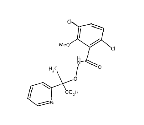 COc1c(Cl)ccc(Cl)c1C(=O)NOC(C)(C(=O)O)c1ccccn1